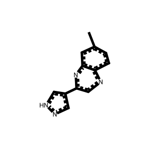 Cc1ccc2ncc(-c3cn[nH]c3)nc2c1